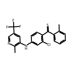 Cc1ccccc1C(=S)c1ccc(Nc2cc(C(F)(F)F)cnc2C)cc1Cl